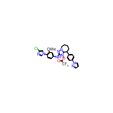 COc1cc(NC2=NN3CCCCC(c4ccc(-n5cccn5)cc4)C3N2OC(=O)C(F)(F)F)ccc1-n1cnc(Cl)c1